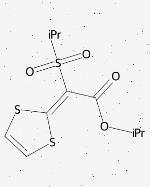 CC(C)OC(=O)C(=C1SC=CS1)S(=O)(=O)C(C)C